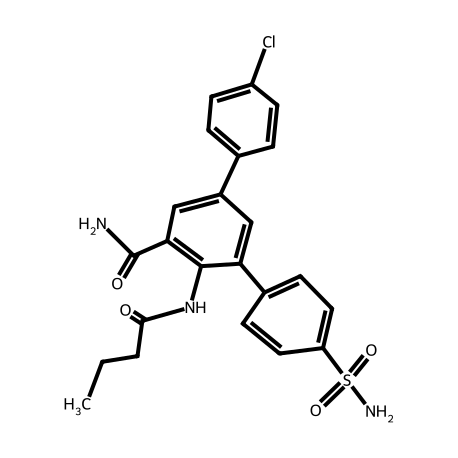 CCCC(=O)Nc1c(C(N)=O)cc(-c2ccc(Cl)cc2)cc1-c1ccc(S(N)(=O)=O)cc1